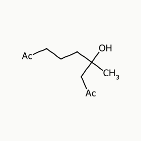 CC(=O)CCCC(C)(O)CC(C)=O